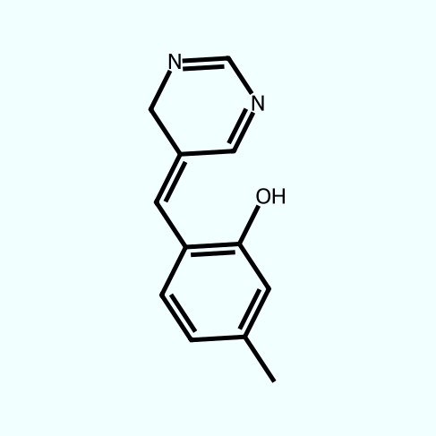 Cc1ccc(C=C2C=NC=NC2)c(O)c1